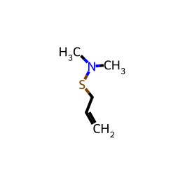 C=CCSN(C)C